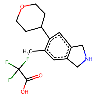 Cc1cc2c(cc1C1CCOCC1)CNC2.O=C(O)C(F)(F)F